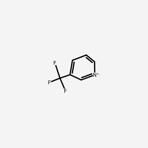 FC(F)(F)C1=CC=C[N+]=C1